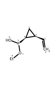 C=C[C@@H]1C[C@@H]1P(O)OCC